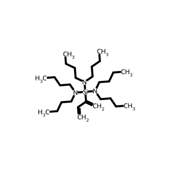 C=CC(=C)[Si](N(CCCC)CCCC)(N(CCCC)CCCC)N(CCCC)CCCC